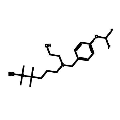 CC(C)(CCCN(CCO)Cc1ccc(OC(F)F)cc1)[Si](C)(C)O